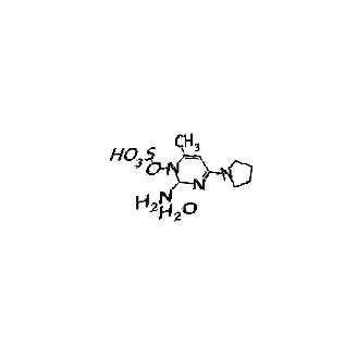 CC1=CC(N2CCCC2)=NC(N)N1OS(=O)(=O)O.O